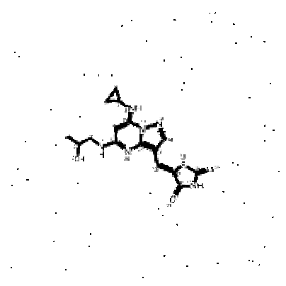 CC(O)CNc1cc(NC2CC2)n2ncc(C=C3SC(=O)NC3=O)c2n1